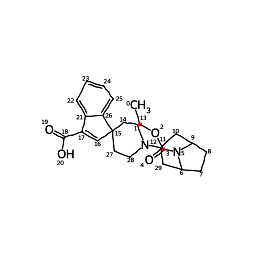 CCOC(=O)N1C2CCC1CC(N1CCC3(C=C(C(=O)O)c4ccccc43)CC1)C2